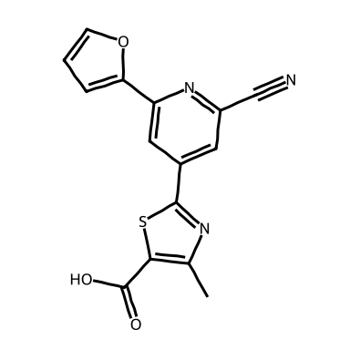 Cc1nc(-c2cc(C#N)nc(-c3ccco3)c2)sc1C(=O)O